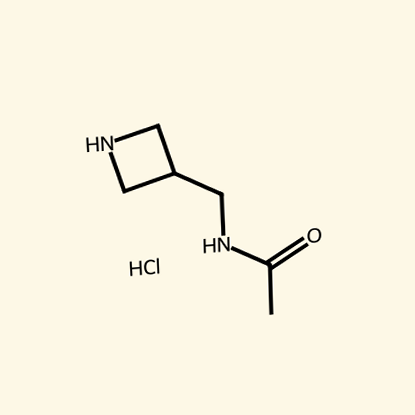 CC(=O)NCC1CNC1.Cl